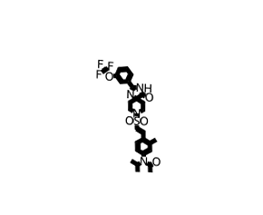 CC(=O)N(c1ccc(/C=C/S(=O)(=O)N2CCC3(CC2)N=C(c2cccc(OC(F)(F)F)c2)NC3=O)c(C)c1)C(C)C